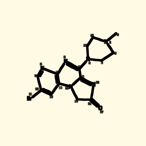 CN1CCN(C2=Nc3ncc(Br)cc3N3CC(=O)N=C23)CC1